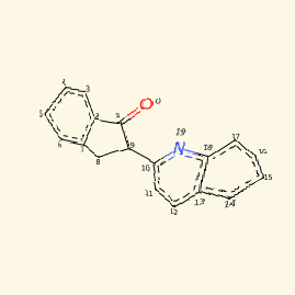 O=C1c2ccccc2CC1c1ccc2ccccc2n1